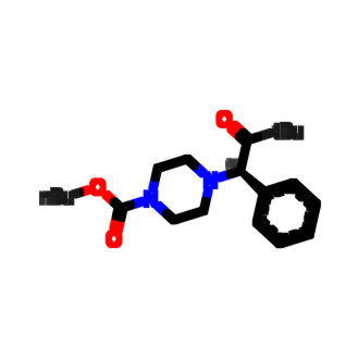 CCCCOC(=O)N1CCN([C@@H](C(=O)C(C)(C)C)c2ccccc2)CC1